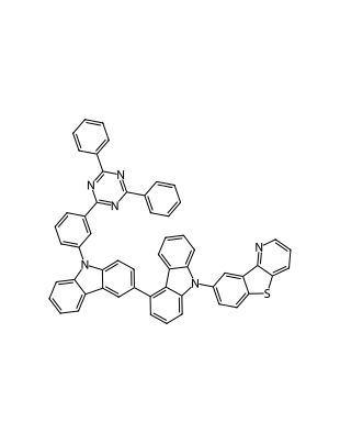 c1ccc(-c2nc(-c3ccccc3)nc(-c3cccc(-n4c5ccccc5c5cc(-c6cccc7c6c6ccccc6n7-c6ccc7sc8cccnc8c7c6)ccc54)c3)n2)cc1